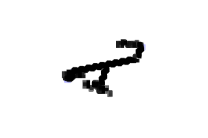 CCCCC/C=C\CC=C=CCCCCCCCC(CCCCCCCC/C=C\C/C=C\CCCCC)CCCCCN(C)C